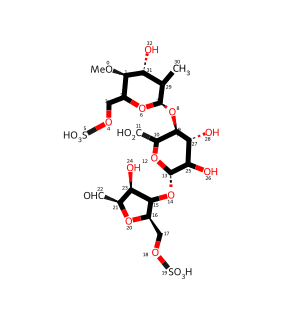 CO[C@@H]1C(COS(=O)(=O)O)O[C@@H](O[C@@H]2C(C(=O)O)O[C@@H](OC3[C@@H](COS(=O)(=O)O)O[C@@H](C=O)[C@H]3O)C(O)[C@H]2O)C(C)[C@H]1O